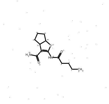 CCCCC(=O)NC1=C(C(N)=O)C2CCCC2S1